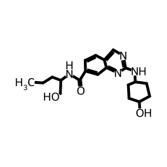 CCCC(CO)NC(=O)c1ccc2cnc(NC3CCC(O)CC3)nc2c1